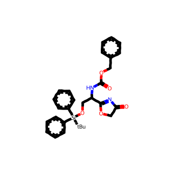 CC(C)(C)[Si](OCC(NC(=O)OCc1ccccc1)C1=NC(=O)CO1)(c1ccccc1)c1ccccc1